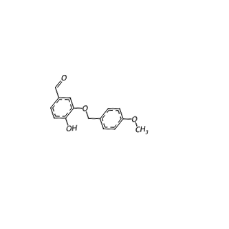 COc1ccc(COc2cc(C=O)ccc2O)cc1